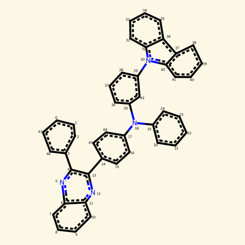 c1ccc(-c2nc3ccccc3nc2-c2ccc(N(c3ccccc3)c3cccc(-n4c5ccccc5c5ccccc54)c3)cc2)cc1